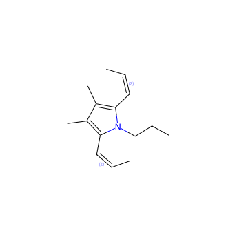 C/C=C\c1c(C)c(C)c(/C=C\C)n1CCC